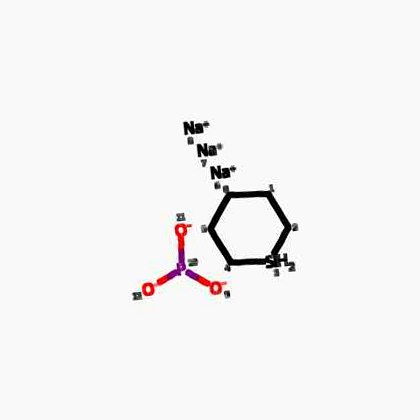 C1CC[SiH2]CC1.[Na+].[Na+].[Na+].[O-]P([O-])[O-]